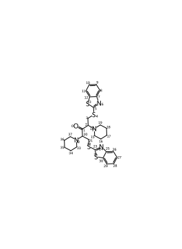 O=C(C(CSc1nc2ccccc2s1)N1CCCCC1)C(CSc1nc2ccccc2s1)N1CCCCC1